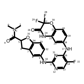 CN(C)C(=O)C1Cc2cc(Nc3ncc(F)c(Nc4ccc5c(c4)NC(=O)C(F)(F)O5)n3)ccc2O1